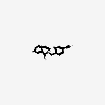 N#Cc1ccc(Cn2ccc3ccccc3c2=O)cc1